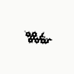 CCc1ccc2ccc3c(C4=CC(C5=C6C=CCC[C@@H]6[C@@H](C6=CC[C@@H](C)C=C6)c6ccccc65)=CCC4)cc(CC)nc3c2n1